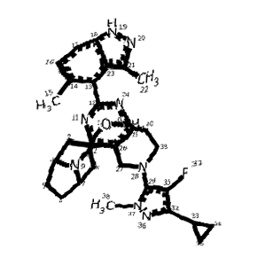 COC1CC2CCC(C1)N2c1nc(-c2c(C)ccc3[nH]nc(C)c23)nc2c1CN(c1c(F)c(C3CC3)nn1C)CC2